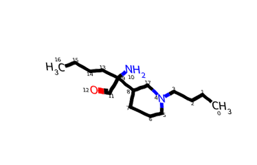 CCCCN1CCCC(C(N)(C=O)CCCC)C1